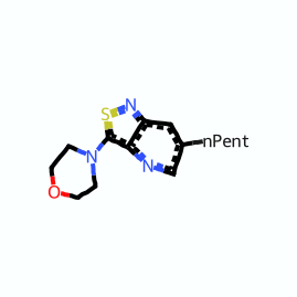 CCCCCc1cnc2c(N3CCOCC3)snc2c1